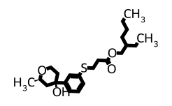 CCCCC(CC)COC(=O)CCSc1cccc([C@@]2(O)CCO[C@@H](C)C2)c1